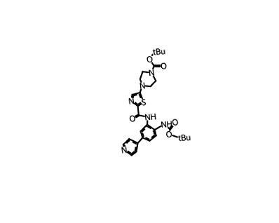 CC(C)(C)OC(=O)Nc1ccc(-c2ccncc2)cc1NC(=O)c1ncc(N2CCN(C(=O)OC(C)(C)C)CC2)s1